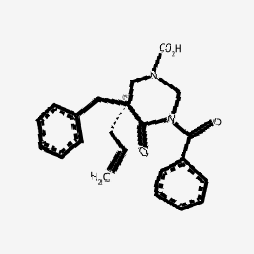 C=CC[C@]1(Cc2ccccc2)CN(C(=O)O)CN(C(=O)c2ccccc2)C1=O